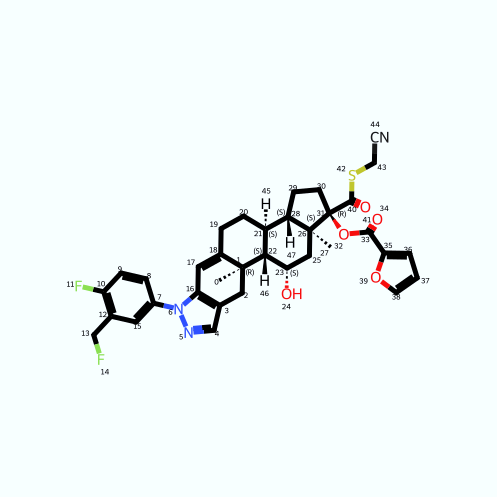 C[C@]12Cc3cnn(-c4ccc(F)c(CF)c4)c3C=C1CC[C@@H]1[C@@H]2[C@@H](O)C[C@@]2(C)[C@H]1CC[C@]2(OC(=O)c1ccco1)C(=O)SCC#N